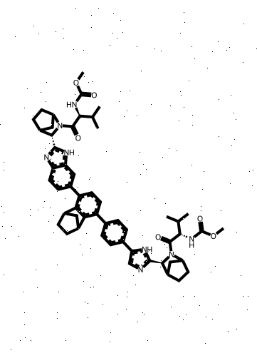 COC(=O)N[C@H](C(=O)N1C2CCC(C2)[C@H]1c1ncc(-c2ccc(-c3ccc(-c4ccc5nc([C@@H]6C7CCC(C7)N6C(=O)[C@@H](NC(=O)OC)C(C)C)[nH]c5c4)c4c3C3CCC4C3)cc2)[nH]1)C(C)C